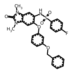 Cn1c(=O)n(C)c2cc(Oc3cccc(OCc4ccccc4)c3)c(NS(=O)(=O)c3ccc(F)cc3)cc21